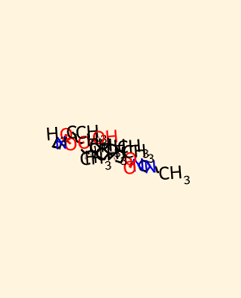 CCCN1CCN(C(=O)O[C@H]2CC[C@]34CC35CC[C@]3(C)[C@@H]6[C@H](O[C@@H]([C@H](OC(=O)N7CCC7)C(C)C)C[C@H]6C)[C@H](O)[C@@]3(C)[C@@H]5CC[C@H]4C2(C)C)CC1